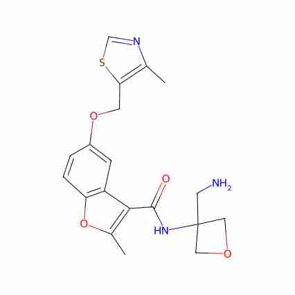 Cc1ncsc1COc1ccc2oc(C)c(C(=O)NC3(CN)COC3)c2c1